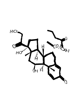 CC(=O)O.CCCC(=O)O.C[C@]12C=CC(=O)C=C1CC[C@@H]1[C@@H]2[C@@H](O)C[C@@]2(C)[C@H]1CC[C@]2(O)C(=O)CO